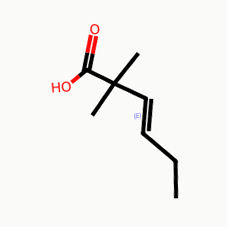 CC/C=C/C(C)(C)C(=O)O